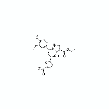 CCOC(=O)C1=CNN2C1NC(c1ccc([N+](=O)[O-])s1)CC2c1ccc(OC)c(OC)c1